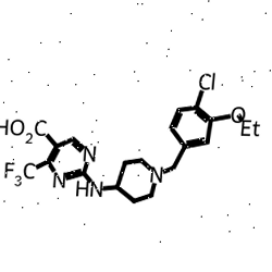 CCOc1cc(CN2CCC(Nc3ncc(C(=O)O)c(C(F)(F)F)n3)CC2)ccc1Cl